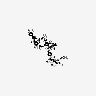 C=CCOC(=O)N[C@@H](C(=O)N[C@@H](C)C(=O)Nc1ccc(COC(=O)N2c3cc(OCCCOc4cc5c(cc4OC)C(=O)N4C=C(c6ccc(OC)cc6)C[C@H]4CN5C(=O)OCC=C)c(OC)cc3C(=O)N3CC4(CC4)C[C@H]3C2O)cc1)C(C)C